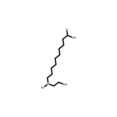 CC(=O)N(CCO)CCCCCCCCCC([O])O